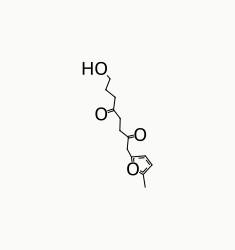 Cc1ccc(CC(=O)CCC(=O)CCCO)o1